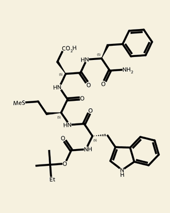 CCC(C)(C)OC(=O)N[C@@H](Cc1c[nH]c2ccccc12)C(=O)N[C@@H](CCSC)C(=O)N[C@@H](CC(=O)O)C(=O)N[C@@H](Cc1ccccc1)C(N)=O